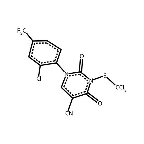 N#Cc1cn(-c2ccc(C(F)(F)F)cc2Cl)c(=O)n(SC(Cl)(Cl)Cl)c1=O